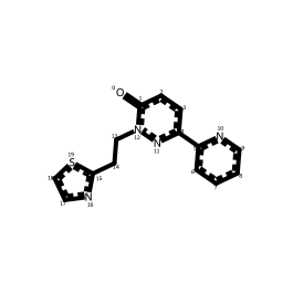 O=c1ccc(-c2ccccn2)nn1CCc1nccs1